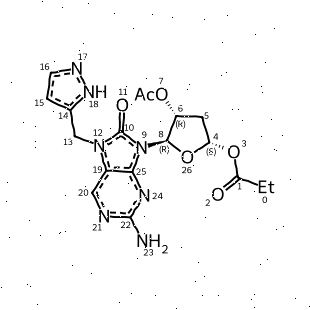 CCC(=O)O[C@H]1C[C@@H](OC(C)=O)[C@H](n2c(=O)n(Cc3ccn[nH]3)c3cnc(N)nc32)O1